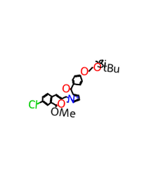 COC(=O)c1cc(Cl)ccc1/C=C/C[N+]1(C)C=CC=C1C(=O)c1ccc(OCCO[Si](C)(C)C(C)(C)C)cc1